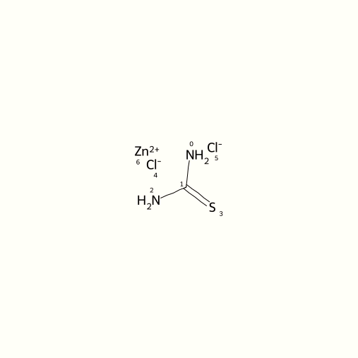 NC(N)=S.[Cl-].[Cl-].[Zn+2]